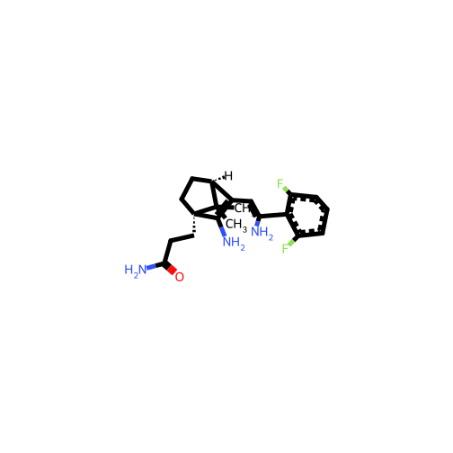 CC1(C)[C@H]2CC[C@]1(CCC(N)=O)C(N)=C2/C=C(\N)c1c(F)cccc1F